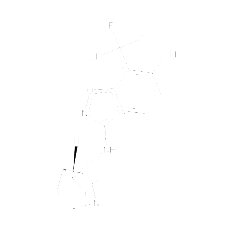 Cc1ccc2c(N[C@@H]3CN4CCC3CC4)noc2c1C(F)(F)F